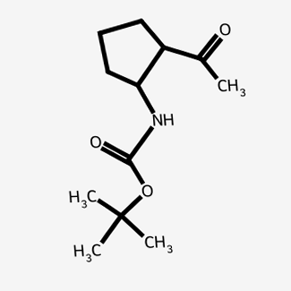 CC(=O)C1CCCC1NC(=O)OC(C)(C)C